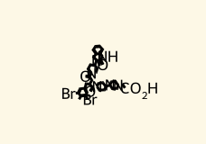 Cc1c(Br)cc(CC(CC(=O)N2CCC(N3Cc4ccccc4NC3=O)CC2)C(=O)N2CCC(N3CCN(CC(=O)O)CC3)CC2)cc1Br